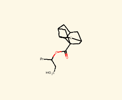 CC(C)C(CC(=O)O)OC(=O)C12CC3CC4CC(C1)C(C3)C42